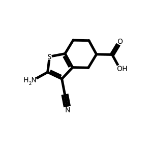 N#Cc1c(N)sc2c1CC(C(=O)O)CC2